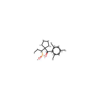 CCC(P=O)C1(C(=O)c2c(C)cc(C)cc2C)CCCC1